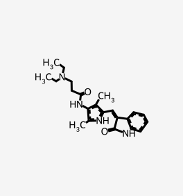 CCN(CC)CCC(=O)Nc1c(C)[nH]c(/C=C2\C(=O)Nc3ccccc32)c1C